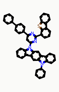 c1ccc(-c2ccc(-c3cc(-n4c5ccccc5c5cc6c(cc54)c4ccccc4n6-c4ccccc4)nc(-c4cccc5c4sc4ccccc45)n3)cc2)cc1